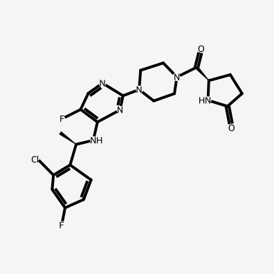 C[C@@H](Nc1nc(N2CCN(C(=O)[C@H]3CCC(=O)N3)CC2)ncc1F)c1ccc(F)cc1Cl